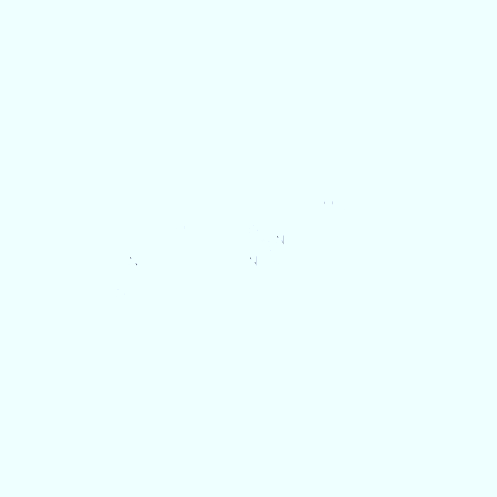 CC(=O)N1CCC(Oc2ccc(N(C)S(=O)(=O)N3CCC(Oc4ccc(C)cc4)CC3)cc2)CC1